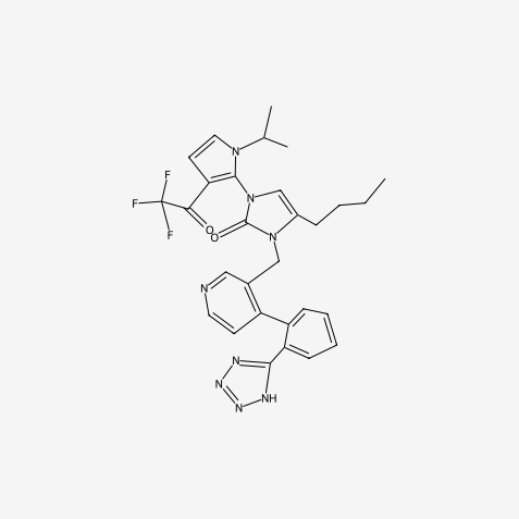 CCCCc1cn(-c2c(C(=O)C(F)(F)F)ccn2C(C)C)c(=O)n1Cc1cnccc1-c1ccccc1-c1nnn[nH]1